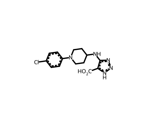 O=C(O)c1[nH]nnc1NC1CCN(c2ccc(Cl)cc2)CC1